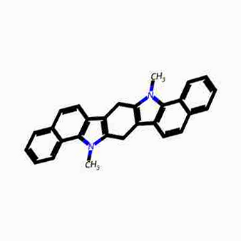 Cn1c2c(c3ccc4ccccc4c31)Cc1c(c3ccc4ccccc4c3n1C)C2